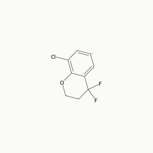 FC1(F)CCOc2c(Cl)c[c]cc21